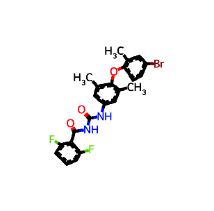 Cc1cc(Br)ccc1Oc1c(C)cc(NC(=O)NC(=O)c2c(F)cccc2F)cc1C